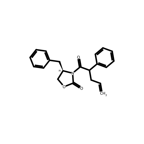 C=CCC(C(=O)N1C(=O)OC[C@H]1Cc1ccccc1)c1ccccc1